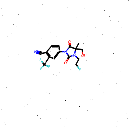 [CH2]C1(CO)C(=O)N(c2ccc(C#N)c(C(F)(F)F)c2)C(=O)N1CCF